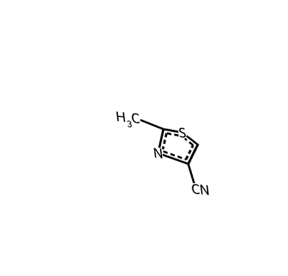 Cc1nc(C#N)cs1